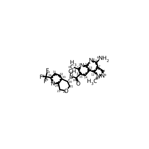 Cc1nc2nc(N)c3cnn(C)c3c2cc1C(=O)N(C)[C@@H]1COCc2nc(C(F)(F)F)ccc21